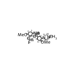 COc1ccc(NS(=O)(=O)c2ccc(OC)c(N3CCN(C)CC3)c2)cc1OC(F)F